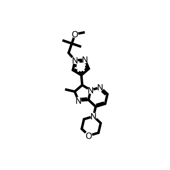 COC(C)(C)Cn1cc(C2C(C)N=C3C(N4CCOCC4)=CC=NN32)cn1